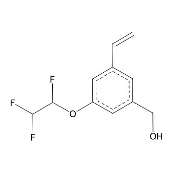 C=Cc1cc(CO)cc(OC(F)C(F)F)c1